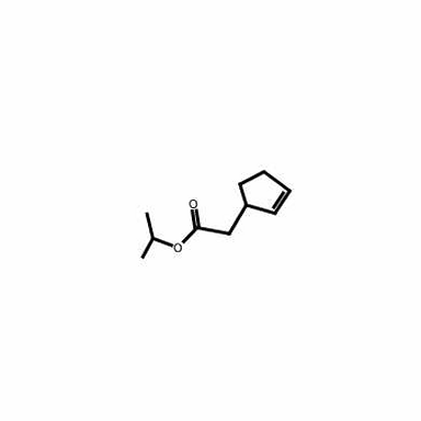 CC(C)OC(=O)CC1C=CCC1